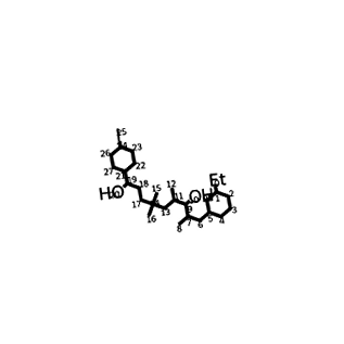 CCC1CCCC(CC(C)C(O)C(C)CC(C)(C)CCC(O)C2CCC(I)CC2)C1